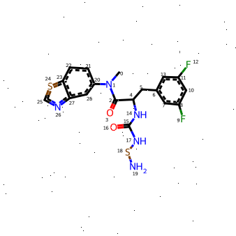 CN(C(=O)C(Cc1cc(F)cc(F)c1)NC(=O)NSN)c1ccc2scnc2c1